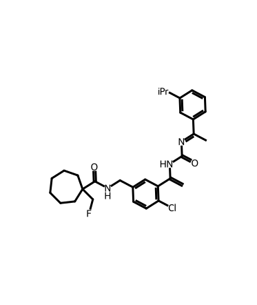 C=C(NC(=O)/N=C(\C)c1cccc(C(C)C)c1)c1cc(CNC(=O)C2(CF)CCCCCC2)ccc1Cl